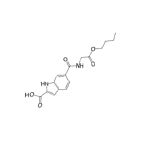 CCCCOC(=O)CNC(=O)c1ccc2cc(C(=O)O)[nH]c2c1